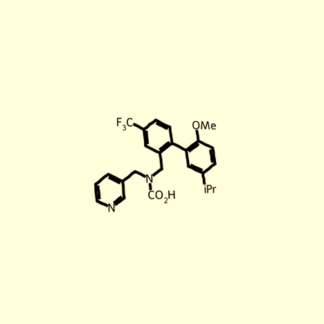 COc1ccc(C(C)C)cc1-c1ccc(C(F)(F)F)cc1CN(Cc1cccnc1)C(=O)O